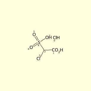 Cl.O=C(O)C(Cl)S(=O)(=O)O